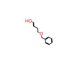 OC=CCCOCc1ccccc1